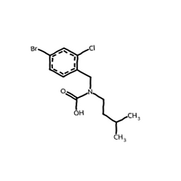 CC(C)CCN(Cc1ccc(Br)cc1Cl)C(=O)O